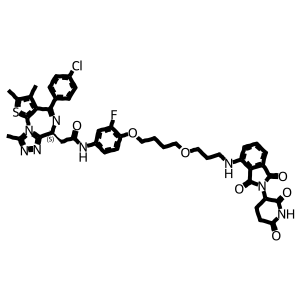 Cc1sc2c(c1C)C(c1ccc(Cl)cc1)=N[C@@H](CC(=O)Nc1ccc(OCCCCOCCCNc3cccc4c3C(=O)N(C3CCC(=O)NC3=O)C4=O)c(F)c1)c1nnc(C)n1-2